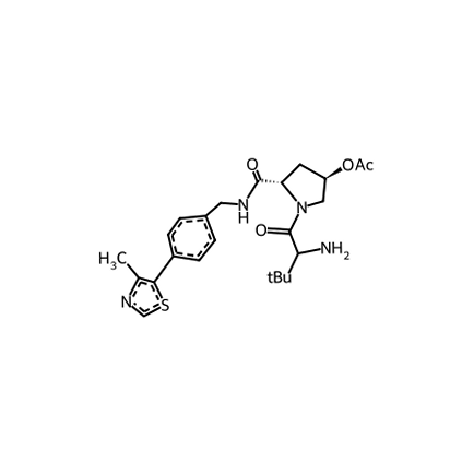 CC(=O)O[C@@H]1C[C@@H](C(=O)NCc2ccc(-c3scnc3C)cc2)N(C(=O)C(N)C(C)(C)C)C1